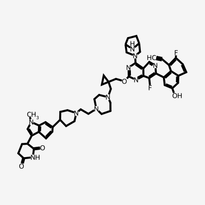 C#Cc1c(F)ccc2cc(O)cc(-c3ncc4c(N5CC6CCC(C5)N6)nc(OCC5(CN6CCCN(CCN7CCC(c8ccc9c(C%10CCC(=O)NC%10=O)cn(C)c9c8)CC7)CC6)CC5)nc4c3F)c12